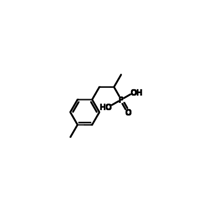 Cc1ccc(CC(C)P(=O)(O)O)cc1